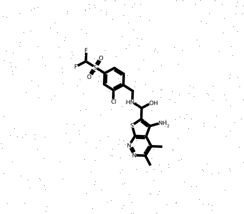 Cc1nnc2sc(C(O)NCc3ccc(S(=O)(=O)C(F)F)cc3Cl)c(N)c2c1C